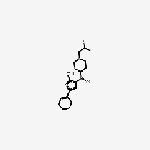 CC(=O)N(c1cc(C2=CCCCC2)sc1C(=O)O)C1CCN(CC(F)F)CC1